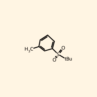 Cc1cccc(S(=O)(=O)C(C)(C)C)c1